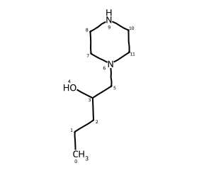 CCCC(O)CN1CCNCC1